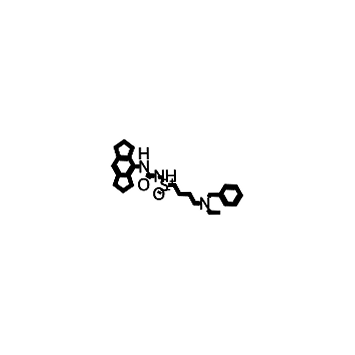 CCN(CCCC[S+]([O-])NC(=O)Nc1c2c(cc3c1CCC3)CCC2)Cc1ccccc1